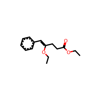 CCOC(=O)CCC(=Cc1ccccc1)OCC